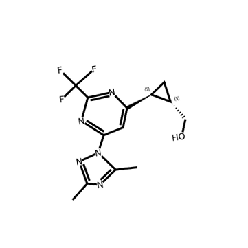 Cc1nc(C)n(-c2cc([C@H]3C[C@@H]3CO)nc(C(F)(F)F)n2)n1